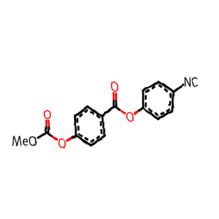 [C-]#[N+]c1ccc(OC(=O)c2ccc(OC(=O)OC)cc2)cc1